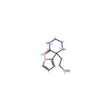 COCCC1(c2cccs2)NCCNC1=O